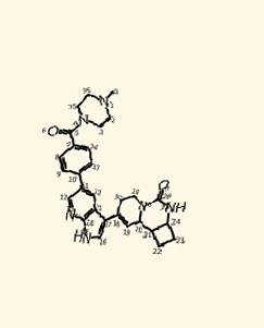 CN1CCN(C(=O)c2ccc(-c3cnc4[nH]cc(C5=CC6C7CCC7NC(=O)N6CC5)c4c3)cc2)CC1